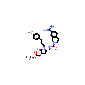 COC(=O)C[C@@H]1C[C@@H](CNC(=O)N2CCc3ccc(C(=N)N)cc3C2)N(CCCc2ccccc2)C1=O.Cl